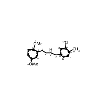 COc1ccc(OC)c(CCNCc2ccc(C)c(Cl)c2)c1